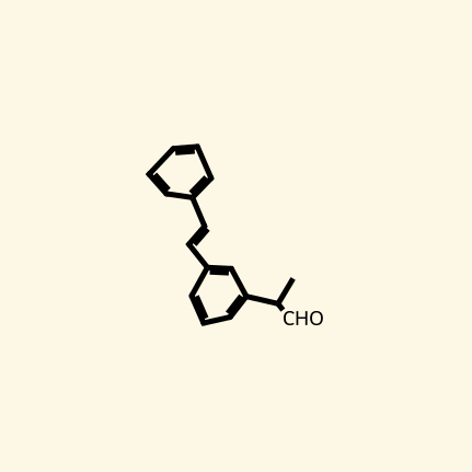 CC(C=O)c1cccc(C=Cc2ccccc2)c1